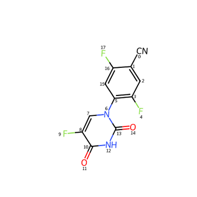 N#Cc1cc(F)c(-n2cc(F)c(=O)[nH]c2=O)cc1F